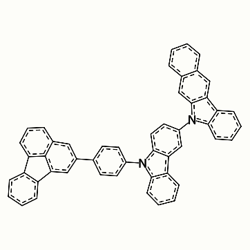 c1ccc2c(c1)-c1cccc3cc(-c4ccc(-n5c6ccccc6c6cc(-n7c8ccccc8c8cc9ccccc9cc87)ccc65)cc4)cc-2c13